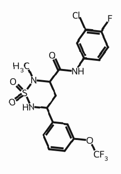 CN1C(C(=O)Nc2ccc(F)c(Cl)c2)CC(c2cccc(OC(F)(F)F)c2)NS1(=O)=O